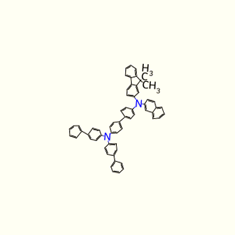 CC1(C)c2ccccc2-c2ccc(N(c3ccc(-c4ccc(N(c5ccc(-c6ccccc6)cc5)c5ccc(-c6ccccc6)cc5)cc4)cc3)c3ccc4ccccc4c3)cc21